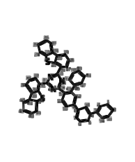 c1ccc(-c2cccc(-c3ccc(-c4nc(-c5cccc6c5sc5ccccc56)nc(-c5cccc6c5sc5ccccc56)n4)c(-c4ccccc4)c3)c2)cc1